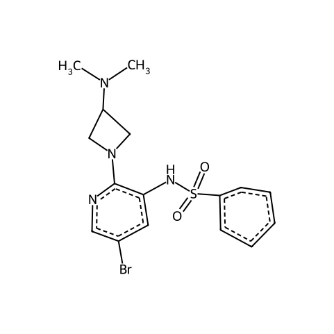 CN(C)C1CN(c2ncc(Br)cc2NS(=O)(=O)c2ccccc2)C1